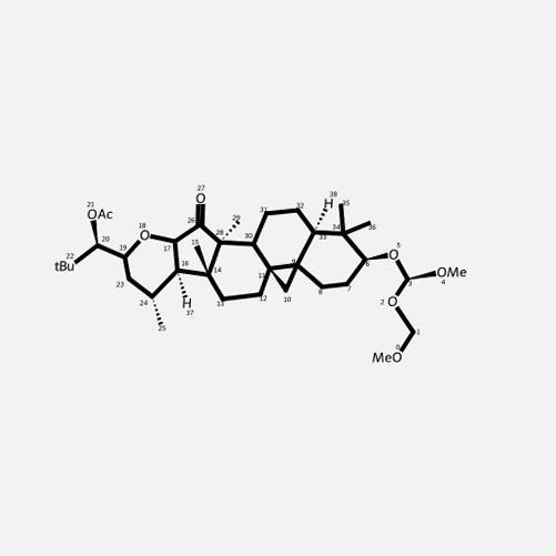 COCO[C@H](OC)O[C@H]1CCC23C[C@]24CC[C@]2(C)[C@@H]5C(OC([C@H](OC(C)=O)C(C)(C)C)C[C@H]5C)C(=O)[C@@]2(C)C4CC[C@H]3C1(C)C